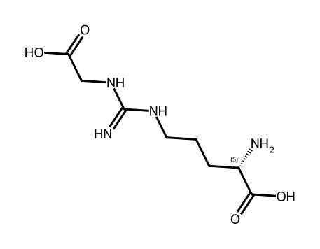 N=C(NCCC[C@H](N)C(=O)O)NCC(=O)O